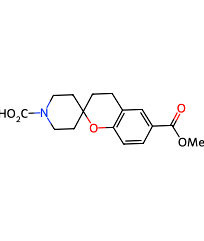 COC(=O)c1ccc2c(c1)CCC1(CCN(C(=O)O)CC1)O2